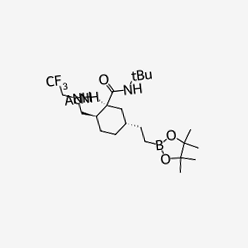 CC(=O)N[C@]1(C(=O)NC(C)(C)C)C[C@H](CCB2OC(C)(C)C(C)(C)O2)CC[C@H]1CNCC(F)(F)F